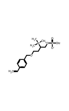 C=Cc1ccc(COCCC(COP(=O)([O-])O)[N+](C)(C)C)cc1